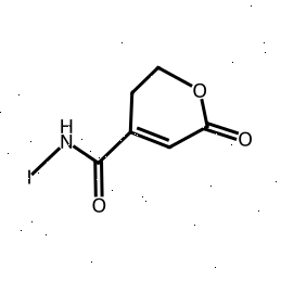 O=C1C=C(C(=O)NI)CCO1